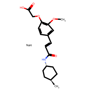 COc1cc(/C=C/C(=O)N[C@H]2CC[C@H](C)CC2)ccc1OCC(=O)O.[NaH]